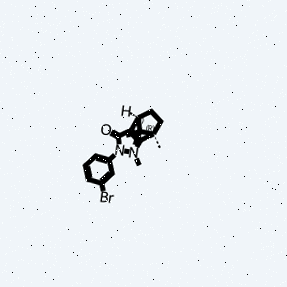 Cn1c2c(c(=O)n1-c1cccc(Br)c1)[C@H]1CC[C@]2(C)C1(C)C